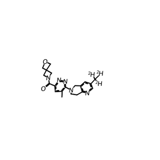 [2H]C([2H])([2H])c1cnc2c(c1)CN(c1nnc(C(=O)N3CC4(COC4)C3)cc1C)CC2